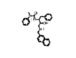 CN(C(=O)NC(Cc1ccccc1)C(O)CNCc1ccc2ccccc2c1)c1ccccc1